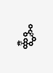 CC1(C)OB(c2c3ccccc3c(-c3cccc(-c4cccc(-c5nc6c(-c7ccccc7)cc(-c7ccccc7)cn6n5)c4)c3)c3ccccc23)OC1(C)C